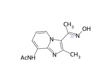 CC(=O)Nc1cccn2c(/C(C)=N/O)c(C)nc12